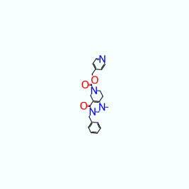 CN1CN(Cc2ccccc2)C(=O)C2=C1CCN(C(=O)OCc1ccncc1)C2